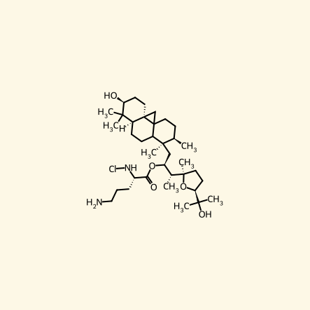 C[C@H]([C@H](C[C@@]1(C)C2CC[C@H]3C(C)(C)[C@@H](O)CC[C@@]34CC24CC[C@H]1C)OC(=O)[C@H](CCCN)NCl)[C@@]1(C)CC[C@@H](C(C)(C)O)O1